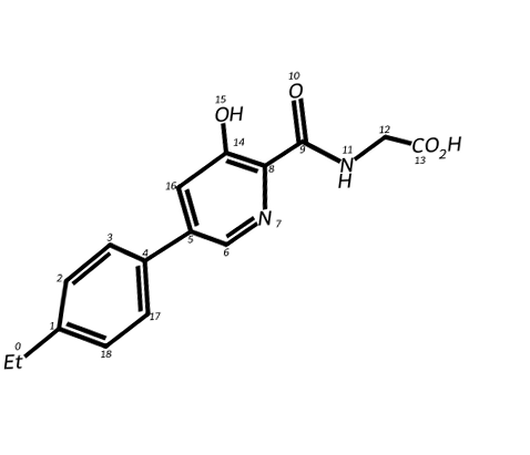 CCc1ccc(-c2cnc(C(=O)NCC(=O)O)c(O)c2)cc1